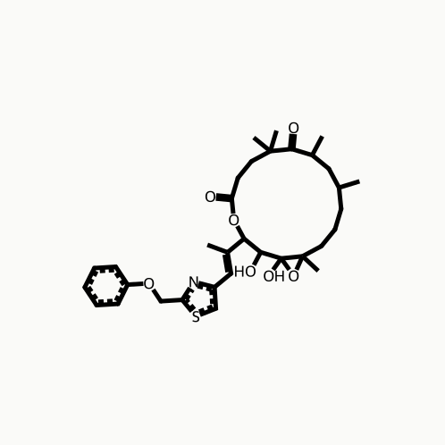 CC(=Cc1csc(COc2ccccc2)n1)C1OC(=O)CCC(C)(C)C(=O)C(C)CC(C)CCCC2(C)OC2(O)C1O